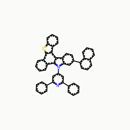 c1ccc(-c2cc(-n3c4cc(-c5cccc6ccccc56)ccc4c4c5c6ccccc6sc5c5ccccc5c43)cc(-c3ccccc3)n2)cc1